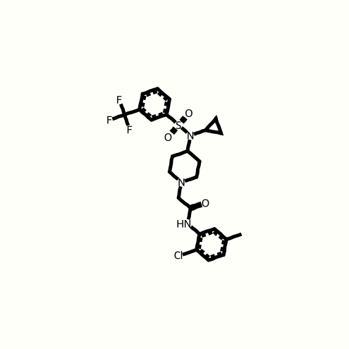 Cc1ccc(Cl)c(NC(=O)CN2CCC(N(C3CC3)S(=O)(=O)c3cccc(C(F)(F)F)c3)CC2)c1